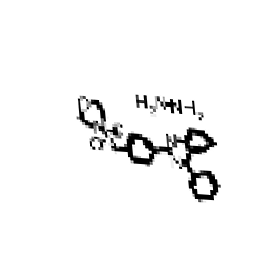 NN.O=S(=O)(Cc1ccc(-c2nc(-c3ccccc3)c3ccccc3n2)cc1)N1CCOCC1